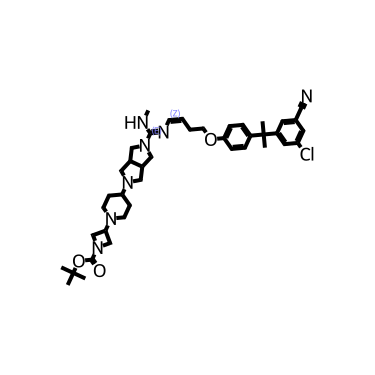 CN/C(=N\C=C/CCOc1ccc(C(C)(C)c2cc(Cl)cc(C#N)c2)cc1)N1CC2CN(C3CCN(C4CN(C(=O)OC(C)(C)C)C4)CC3)CC2C1